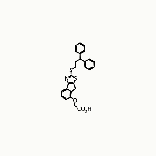 O=C(O)COc1cccc2c1Cc1sc(SCCC(c3ccccc3)c3ccccc3)nc1-2